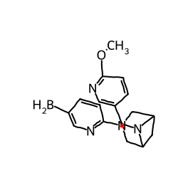 Bc1ccc(N2CC3CC(C2)N3Cc2ccc(OC)nc2)nc1